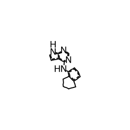 c1cc2c(c(Nc3ncnc4[nH]ccc34)c1)CCCC2